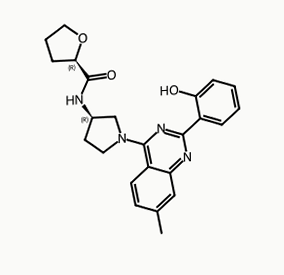 Cc1ccc2c(N3CC[C@@H](NC(=O)[C@H]4CCCO4)C3)nc(-c3ccccc3O)nc2c1